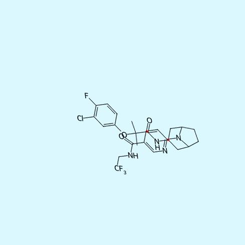 CC(C)(Oc1ccc(F)c(Cl)c1)C(=O)NC1CC2CCC(C1)N2c1ccc(C(=O)NCC(F)(F)F)cn1